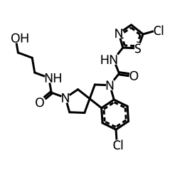 O=C(NCCCO)N1CCC2(C1)CN(C(=O)Nc1ncc(Cl)s1)c1ccc(Cl)cc12